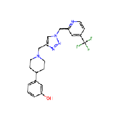 Oc1cccc(C2CCN(Cc3cn(Cc4cc(C(F)(F)F)ccn4)nn3)CC2)c1